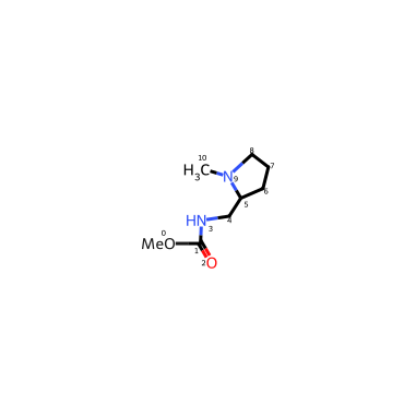 COC(=O)NCC1CCCN1C